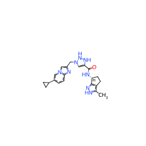 Cc1[nH]nc2c1CC[C@H]2NC(=O)C1=CN(Cc2cn3cc(C4CC4)ccc3n2)NN1